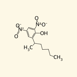 CCCCCC(C)c1cc([N+](=O)[O-])cc([N+](=O)[O-])c1O